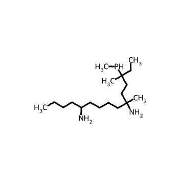 CCCCC(N)CCCCC(C)(N)CCC(C)(CC)PC